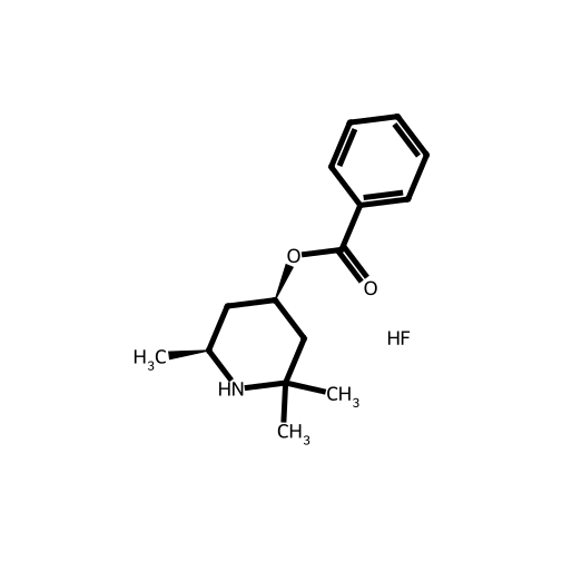 C[C@H]1C[C@@H](OC(=O)c2ccccc2)CC(C)(C)N1.F